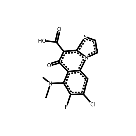 CN(C)c1c(F)c(Cl)cc2c1c(=O)c(C(=O)O)c1sccn12